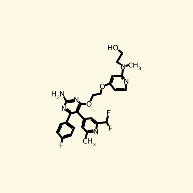 Cc1cc(-c2c(OCCOc3ccnc(N(C)CCO)c3)nc(N)nc2-c2ccc(F)cc2)cc(C(F)F)n1